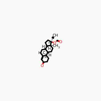 C#C[C@@]1(OC=O)CC[C@H]2[C@@H]3CCC4=CC(=O)CC[C@]4(C)[C@H]3CC[C@@]21C